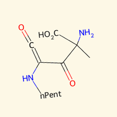 CCCCCNC(=C=O)C(=O)C(C)(N)C(=O)O